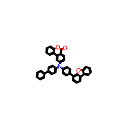 O=c1oc2ccccc2c2cc(N(c3ccc(-c4ccccc4)cc3)c3ccc(-c4cccc5c4oc4ccccc45)cc3)ccc12